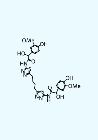 COc1cc(C(O)C(=O)Nc2nnc(CCCCc3nnc(NC(=O)C(O)c4ccc(O)c(OC)c4)s3)s2)ccc1O